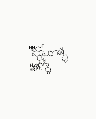 Cc1c(F)cc2[nH]ncc2c1-c1c(C2CC2)cc2c(N3C[C@@H]4C[C@H]3CN4)nc(OC3CCOCC3)nc2c1OCc1ccc(Cc2ncn(C3CCOCC3)n2)cc1